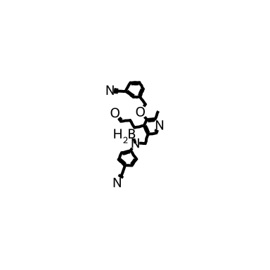 BN(Cc1cnc(C)c(OCc2cccc(C#N)c2)c1CCC=O)c1ccc(C#N)cc1